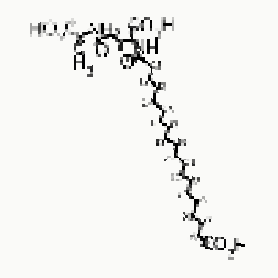 C[C@H](NC(=O)CC[C@H](NC(=O)CCCCCCCCCCCCCCCCCCC(=O)O)C(=O)O)C(=O)O